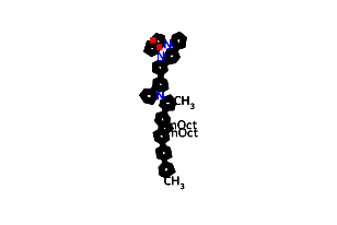 CCCCCCCCC1(CCCCCCCC)c2cc(-c3ccc(-c4ccc(C)cc4)cc3)ccc2-c2ccc(-c3cc(C)cc(-n4c5ccccc5c5cc(-c6ccc7c(c6)c6ccc8c9ccccc9n(-c9ccccc9)c8c6n7-c6ccccc6)ccc54)c3)cc21